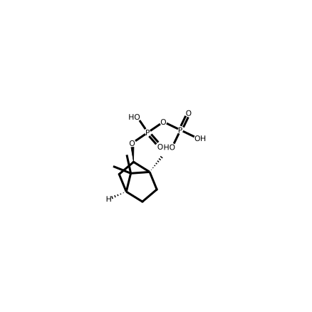 CC1(C)[C@H]2CC[C@]1(C)[C@H](OP(=O)(O)OP(=O)(O)O)C2